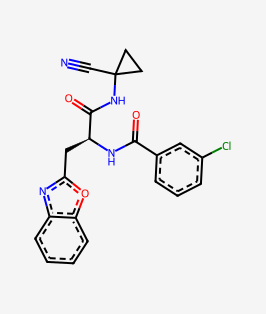 N#CC1(NC(=O)[C@H](Cc2nc3ccccc3o2)NC(=O)c2cccc(Cl)c2)CC1